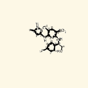 Cc1cc(Nc2nc(N[C@@H](CO)c3ccc(F)cc3)c([N+](=O)[O-])cc2Cl)n[nH]1